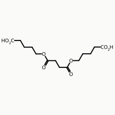 O=C(O)CCCCOC(=O)CCC(=O)OCCCCC(=O)O